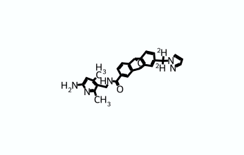 [2H]C([2H])(c1ccc2c(c1)C1OC2c2ccc(C(=O)NCc3c(C)cc(N)nc3C)cc21)n1cccn1